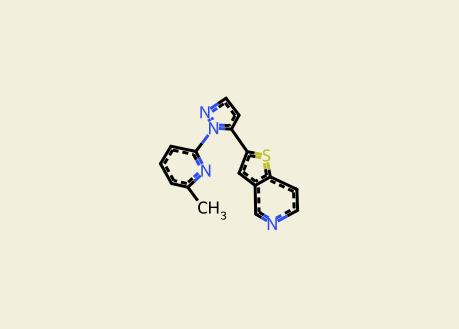 Cc1cccc(-n2nccc2-c2cc3cnccc3s2)n1